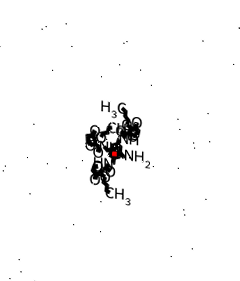 CCCCOc1c(C(=O)NCC23CC4(CN)CC(CNC(=O)c5occc(=O)c5OCCCC)(C2)CC(CNC(=O)c2occc(=O)c2OCCCC)(C4)C3)occc1=O